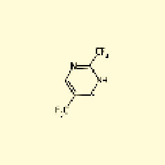 FC(F)(F)C1=CN=C(C(F)(F)F)N[CH]1